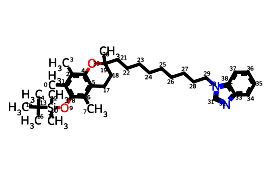 Cc1c(C)c2c(c(C)c1O[Si](C)(C)C(C)(C)C)CCC(C)(CCCCCCCCCn1cnc3ccccc31)O2